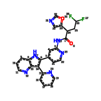 O=C(Nc1cc(-c2[nH]c3cccnc3c2-c2ccccn2)ccn1)C(CC(F)F)c1cnco1